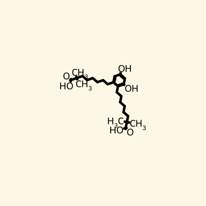 CC(C)(CCCCCCc1cc(O)cc(O)c1CCCCCCC(C)(C)C(=O)O)C(=O)O